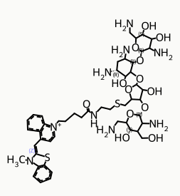 CN1/C(=C/c2cc[n+](CCCCC(=O)NCCSCC3OC(OC4C(O)[C@H](N)CC(N)[C@H]4O[C@H]4OC(CN)[C@@H](O)C(O)C4N)C(O)C3O[C@H]3OC(CN)[C@@H](O)C(CO)C3N)c3ccccc23)Sc2ccccc21